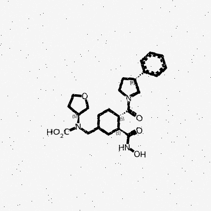 O=C(NO)[C@H]1CC(CN(C(=O)O)[C@H]2CCOC2)CC[C@@H]1C(=O)N1CC[C@H](c2ccccc2)C1